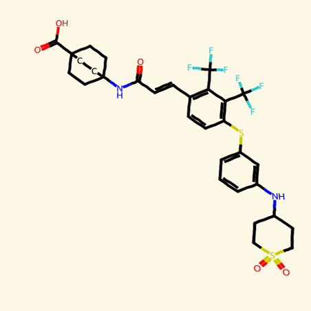 O=C(/C=C/c1ccc(Sc2cccc(NC3CCS(=O)(=O)CC3)c2)c(C(F)(F)F)c1C(F)(F)F)NC12CCC(C(=O)O)(CC1)CC2